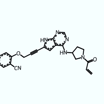 C=CC(=O)N1CCC(Nc2ncnc3[nH]c(C#CCOc4ccccc4C#N)cc23)C1